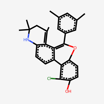 CC1=c2c(ccc3c2=C(c2cc(C)cc(C)c2)Oc2ccc(O)c(Cl)c2-3)NC(C)(C)C1